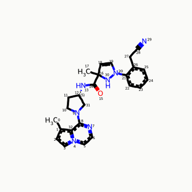 Cc1ccn2ccnc(N3CC[C@H](NC(=O)C4(C)C=CN(c5ccccc5CC#N)N4)C3)c12